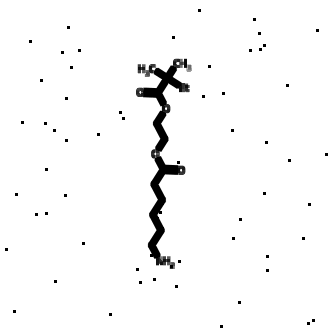 CCC(C)(C)C(=O)OCCOC(=O)CCCCCN